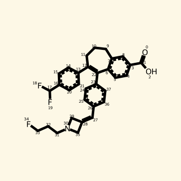 O=C(O)c1ccc2c(c1)CCCC(c1ccc(C(F)F)cc1)=C2c1ccc(C=C2CN(CCCF)C2)cc1